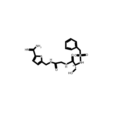 N=C(N)c1ccc(CNC(=O)CNC(=O)[C@@H](CO)NS(=O)(=O)Cc2ccccc2)s1